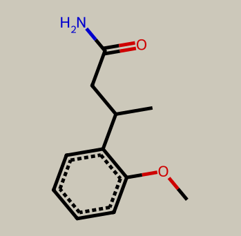 COc1ccccc1C(C)CC(N)=O